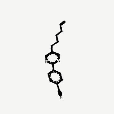 C=CCCCCc1cnc(-c2ccc(C#N)cc2)nc1